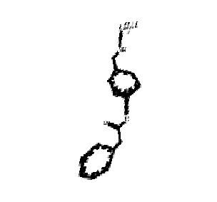 CCOC(=O)NCc1ccc(OC(=O)Cc2ccccc2)cc1